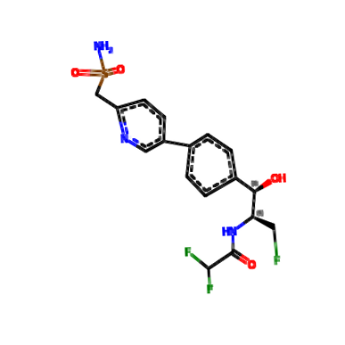 NS(=O)(=O)Cc1ccc(-c2ccc([C@@H](O)[C@@H](CF)NC(=O)C(F)F)cc2)cn1